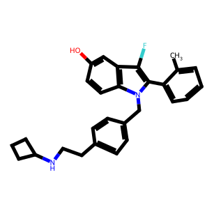 Cc1ccccc1-c1c(F)c2cc(O)ccc2n1Cc1ccc(CCNC2CCC2)cc1